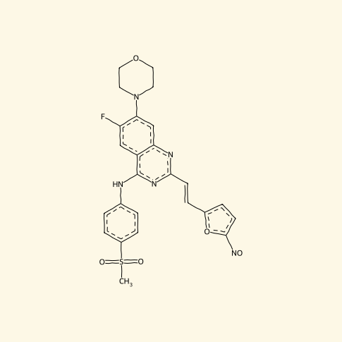 CS(=O)(=O)c1ccc(Nc2nc(/C=C/c3ccc(N=O)o3)nc3cc(N4CCOCC4)c(F)cc23)cc1